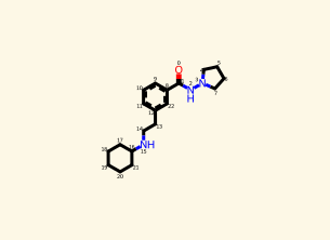 O=C(NN1CCCC1)c1cccc(CCNC2CCCCC2)c1